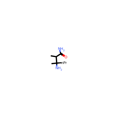 CCCC(C)(N)C(C)C(N)=O